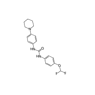 O=C(Nc1ccc(OC(F)F)cc1)Nc1ccc(N2CCCCC2)cc1